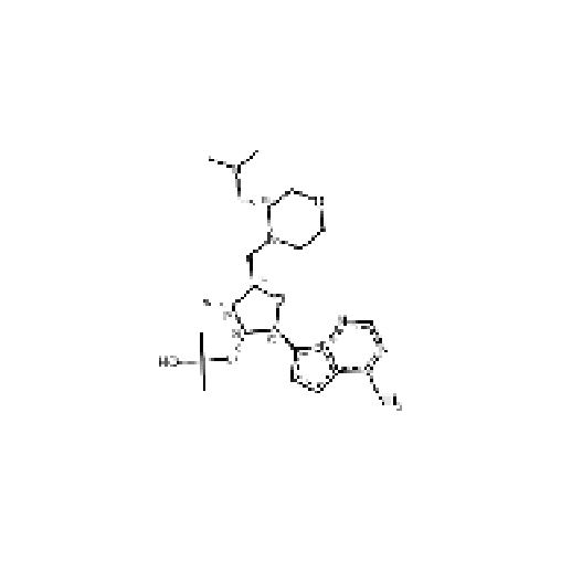 C[C@H]1[C@@H](OC(C)(C)O)[C@H](c2ccc3c(N)ncnn23)O[C@@H]1CN1CCOC[C@H]1CN(C)C